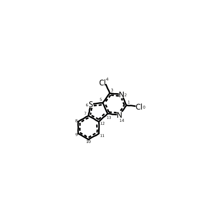 Clc1nc(Cl)c2sc3ccccc3c2n1